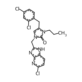 CCCn1c(Cc2ccc(Cl)cc2Cl)cn(Cc2nc3nc(Cl)ccc3[nH]2)c1=O